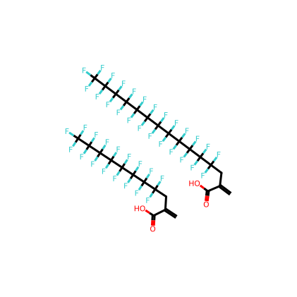 C=C(CC(F)(F)C(F)(F)C(F)(F)C(F)(F)C(F)(F)C(F)(F)C(F)(F)C(F)(F)C(F)(F)C(F)(F)C(F)(F)C(F)(F)F)C(=O)O.C=C(CC(F)(F)C(F)(F)C(F)(F)C(F)(F)C(F)(F)C(F)(F)C(F)(F)C(F)(F)F)C(=O)O